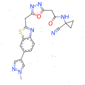 Cn1cc(-c2ccc3nc(Cc4nnc(CC(=O)NC5(C#N)CC5)o4)sc3c2)cn1